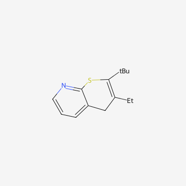 CCC1=C(C(C)(C)C)Sc2ncccc2C1